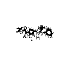 CC(C)(C)OC(=O)C(N)c1ccc(CN[C@@H](Cc2ccccc2)C(=O)O)cc1